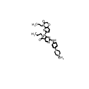 C=CCn1c(=O)c2cnc(Nc3ccc(N4CCN(C)CC4)cc3)nc2n1-c1ccc2c(n1)N(CCC)C(=O)CO2